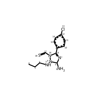 CCCNN1C(N)N=C(c2ccc(Cl)cc2)N1C=S